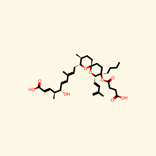 C=C(C)/C=C/[C@@H]1O[C@@]2(CC[C@H](C)[C@@H](C/C=C(C)/C=C/[C@H](O)[C@@H](C)/C=C/C(=O)O)O2)CC[C@@]1(CCCC)OC(=O)CCC(=O)O